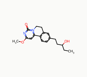 CCC(O)CCc1ccc2c(c1)CCn1c-2cc(OC)nc1=O